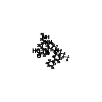 CCCCCCN(Cc1cccc(-n2ncc(C(=O)O)c2[C@@H]2CC2/C(N)=C/NC)c1)Sc1cccc(-c2ccccc2)c1